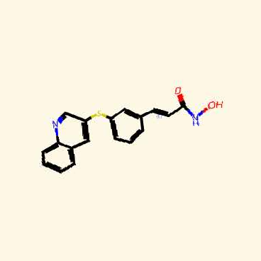 O=C(/C=C/c1cccc(Sc2cnc3ccccc3c2)c1)NO